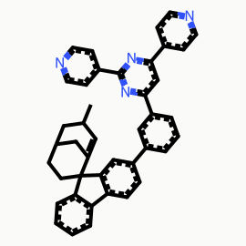 CC1C=C2CC(CCC23c2ccccc2-c2ccc(-c4cccc(-c5cc(-c6ccncc6)nc(-c6ccncc6)n5)c4)cc23)C1